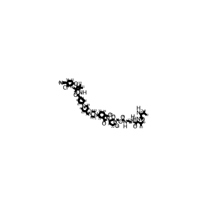 CC(C)[C@H](N)C(=O)N[C@H](C(=O)NCCNC(=O)OCN1C(=O)CCC(N2C(=O)c3ccc(N4CCN(CC5CCN(c6ccc(C(=O)NC7C(C)(C)C(Oc8ccc(C#N)c(Cl)c8)C7(C)C)cc6)CC5)CC4)cc3C2=O)C1=O)C(C)C